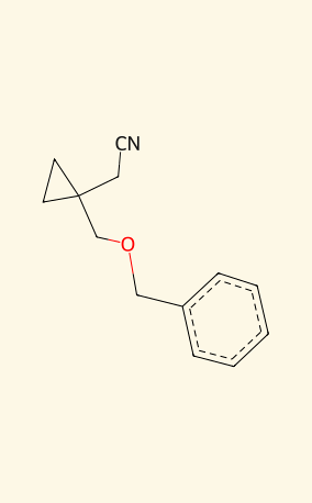 N#CCC1(COCc2ccccc2)CC1